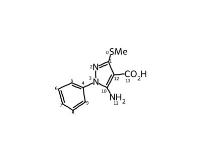 CSc1nn(-c2ccccc2)c(N)c1C(=O)O